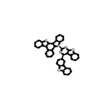 c1ccc2c(c1)oc1ccc(-c3nc(-n4c5ccccc5c5c6sc7ccccc7c6c6ccccc6c54)nc4oc5ccccc5c34)cc12